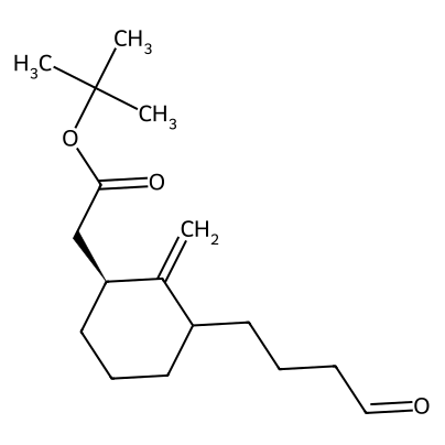 C=C1C(CCCC=O)CCC[C@H]1CC(=O)OC(C)(C)C